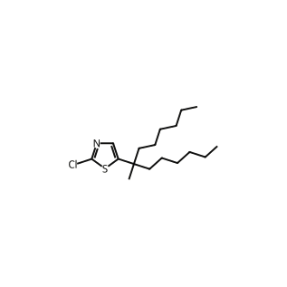 CCCCCCC(C)(CCCCCC)c1cnc(Cl)s1